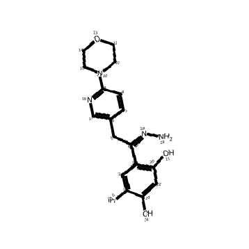 CC(C)c1cc(/C(Cc2ccc(N3CCOCC3)nc2)=N\N)c(O)cc1O